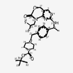 CC(Nc1ncc2c(n1)N(CC(F)F)C(=O)OC2)c1ccc(CN2CCN(C(=O)OC(C)(C)C)CC2)cc1